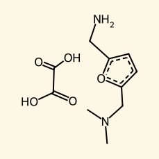 CN(C)Cc1ccc(CN)o1.O=C(O)C(=O)O